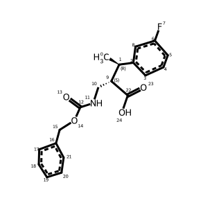 C[C@@H](c1cccc(F)c1)[C@@H](CNC(=O)OCc1ccccc1)C(=O)O